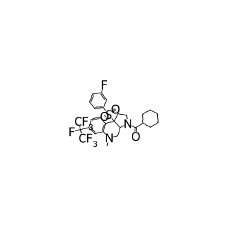 CN1CC2N(C(=O)C3CCCCC3)CCC2(S(=O)(=O)c2cccc(F)c2)c2ccc(C(F)(C(F)(F)F)C(F)(F)F)cc21